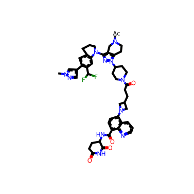 CC(=O)N1CCc2c(c(N3CCCc4cc(-c5cnn(C)c5)c(C(F)F)cc43)nn2C2CCN(C(=O)CCC3CN(c4ccc(C(=O)NC5CCC(=O)NC5=O)c5ncccc45)C3)CC2)C1